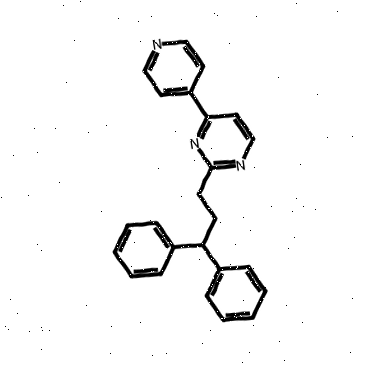 c1ccc(C(CCc2nccc(-c3ccncc3)n2)c2ccccc2)cc1